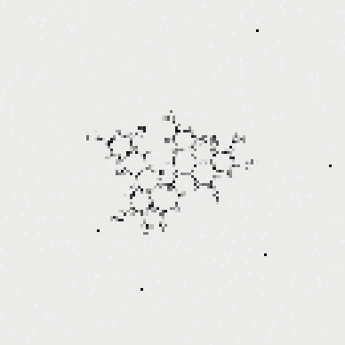 O=C(O[C@@H]1Cc2c(O)cc(O)cc2O[C@@H]1C1CCC(=O)c2c(O)c(O)cc([C@H]3Oc4cc(O)cc(O)c4C[C@H]3O)c2C1)c1cc(O)c(O)c(O)c1